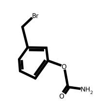 NC(=O)Oc1cccc(CBr)c1